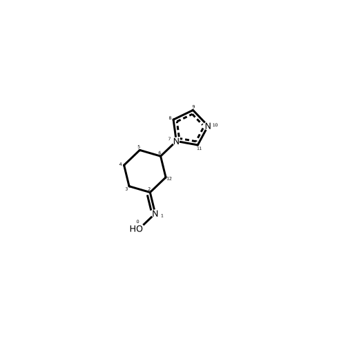 O/N=C1\CCCC(n2ccnc2)C1